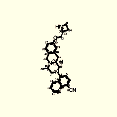 C[C@@H]1CN(c2ccc(C#N)c3ncccc23)C[C@@H]2Cc3cc(OC[C@@H]4CCN4)ccc3CN21